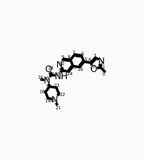 Cc1ncc(-c2ccc3cnc(NC(=O)N(C)C4CCN(C)CC4)cc3c2)o1